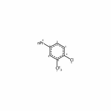 [CH2]CCc1ccc(Cl)c(C(F)(F)F)c1